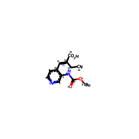 CC(C)(C)OC(=O)Nc1cnccc1/C=C(\CC#N)C(=O)O